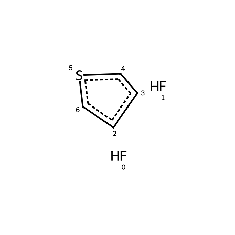 F.F.c1ccsc1